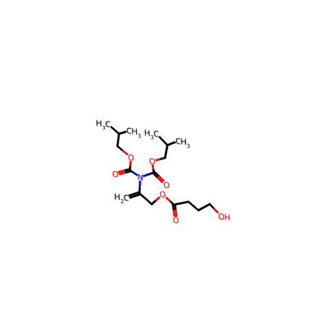 C=C(COC(=O)CCCO)N(C(=O)OCC(C)C)C(=O)OCC(C)C